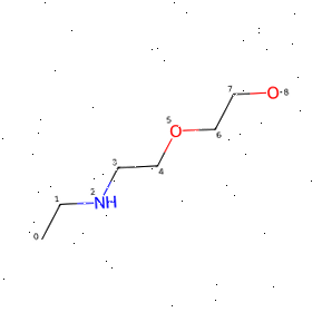 CCNCCOCC[O]